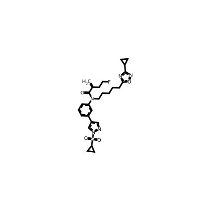 C=C(CCF)C(=O)N(CCCCCc1nc(C2CC2)no1)c1cccc(-c2cnn(S(=O)(=O)C3CC3)c2)c1